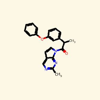 Cc1ncc2ccn(C(=O)C(C)c3cccc(Oc4ccccc4)c3)c2n1